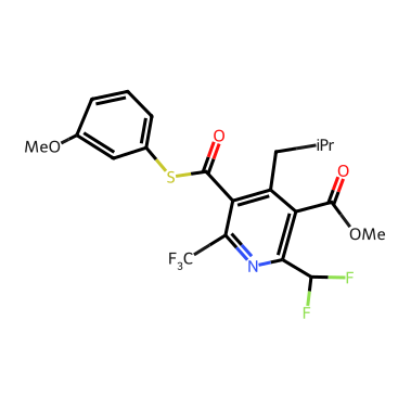 COC(=O)c1c(C(F)F)nc(C(F)(F)F)c(C(=O)Sc2cccc(OC)c2)c1CC(C)C